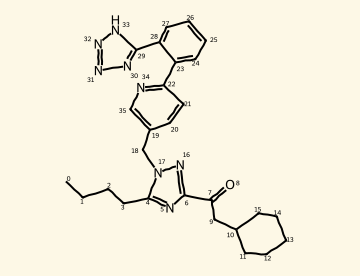 CCCCc1nc(C(=O)CC2CCCCC2)nn1Cc1ccc(-c2ccccc2-c2nnn[nH]2)nc1